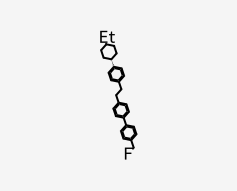 CC[C@H]1CC[C@H](c2ccc(CCc3ccc(-c4ccc(CF)cc4)cc3)cc2)CC1